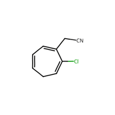 N#CCC1=CC=CCC=C1Cl